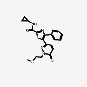 COCCn1nc(-c2sc(C(=O)NC3CC3)nc2-c2ccccc2)ccc1=O